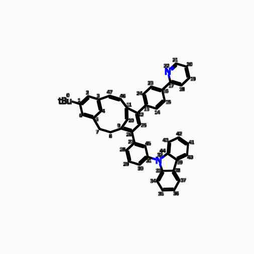 CC(C)(C)c1cc2cc(c1)CCc1cc(c(-c3ccc(-c4ccccn4)cc3)cc1-c1cccc(-n3c4ccccc4c4ccccc43)c1)/C=C\2